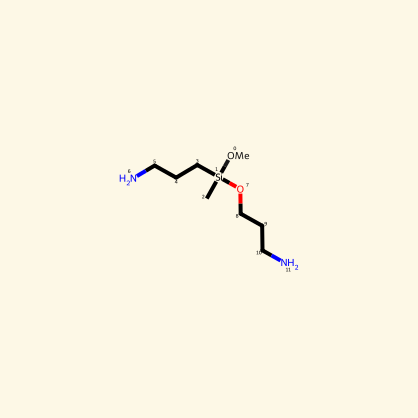 CO[Si](C)(CCCN)OCCCN